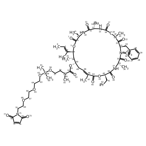 C/C=C(\C)[C@H]1OC(=O)[C@@H](C)NC(=O)[C@H](C(C)CC)NC(=O)CN(C)C(=O)[C@@H](Cc2ccccc2)N(C)C(=O)[C@H](C)NC(=O)[C@@H](CC(C)C)OC(=O)/C(C)=C/C[C@H](OC(=O)N(C)CCO[Si](C)(C)OCCOCCOCCN2C(=O)C=CC2=O)[C@@H]1C